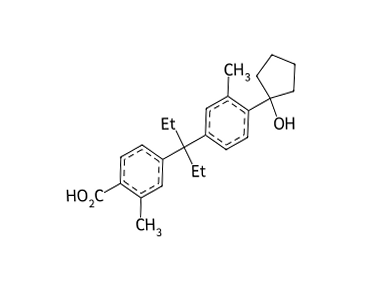 CCC(CC)(c1ccc(C(=O)O)c(C)c1)c1ccc(C2(O)CCCC2)c(C)c1